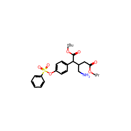 CC(C)OC(=O)CC(CN)C(C(=O)OC(C)(C)C)c1ccc(OS(=O)(=O)c2ccccc2)cc1